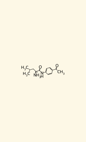 CC(=O)c1ccc(NC(=O)[C@@H](N)CC(C)C)cc1